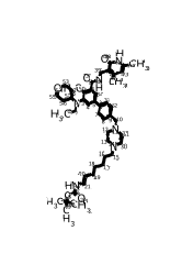 CCN(c1cc(-c2ccc(CN3CCN(CCCCCCCNC(=O)OC(C)(C)C)CC3)cc2)cc(C(=O)NCc2c(C)cc(C)[nH]c2=O)c1C)C1CCOCC1